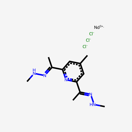 CNN=C(C)c1cc(C)cc(C(C)=NNC)n1.[Cl-].[Cl-].[Cl-].[Nd+3]